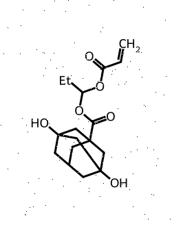 C=CC(=O)OC(CC)OC(=O)C12CC3CC(O)(CC(O)(C3)C1)C2